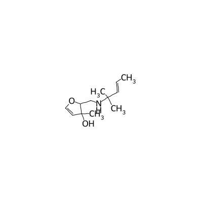 CC=CC(C)(C)NCC1OC=CC1(C)O